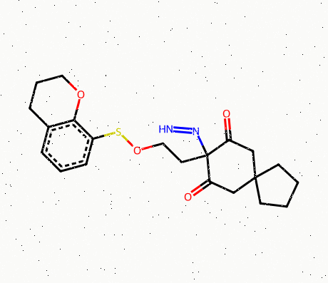 N=NC1(CCOSc2cccc3c2OCCC3)C(=O)CC2(CCCC2)CC1=O